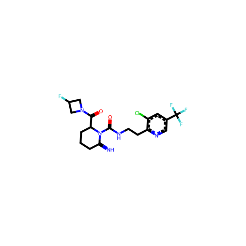 N=C1CCCC(C(=O)N2CC(F)C2)N1C(=O)NCCc1ncc(C(F)(F)F)cc1Cl